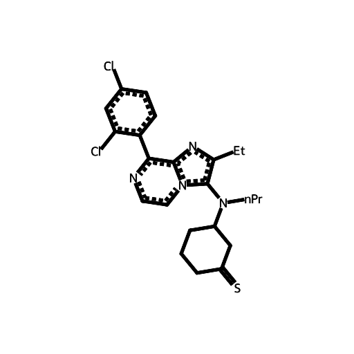 CCCN(c1c(CC)nc2c(-c3ccc(Cl)cc3Cl)nccn12)C1CCCC(=S)C1